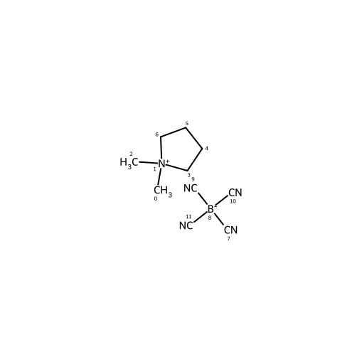 C[N+]1(C)CCCC1.N#C[B-](C#N)(C#N)C#N